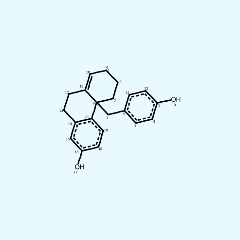 Oc1ccc(CC23CC[C]C=C2CCc2cc(O)ccc23)cc1